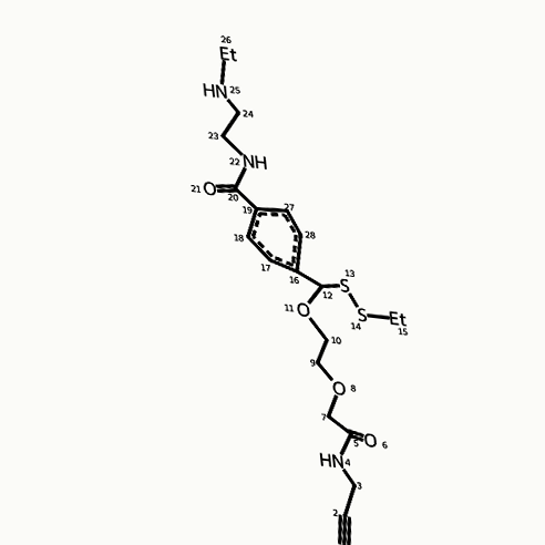 CCCC#CCNC(=O)COCCOC(SSCC)c1ccc(C(=O)NCCNCC)cc1